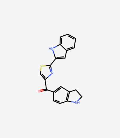 O=C(c1ccc2c(c1)CCN2)c1csc(-c2cc3ccccc3[nH]2)n1